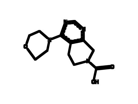 O=C(O)N1CCc2c(ncnc2N2CCOCC2)C1